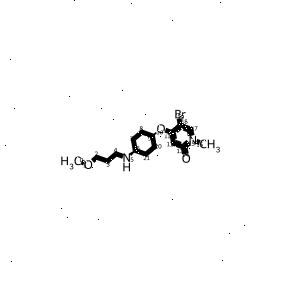 COCCCN[C@H]1CC[C@H](Oc2cc(=O)n(C)cc2Br)CC1